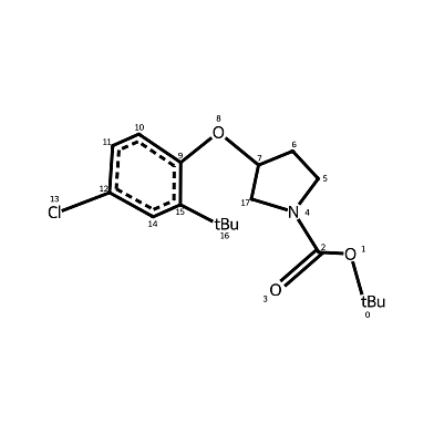 CC(C)(C)OC(=O)N1CCC(Oc2ccc(Cl)cc2C(C)(C)C)C1